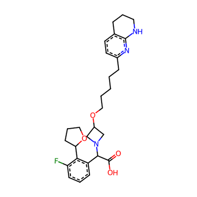 O=C(O)C(c1cccc(F)c1C1CCCO1)N1CC(OCCCCCc2ccc3c(n2)NCCC3)C1